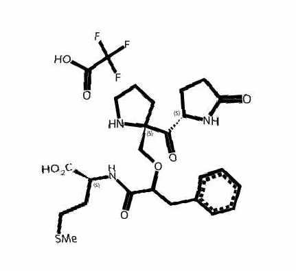 CSCC[C@H](NC(=O)C(Cc1ccccc1)OC[C@]1(C(=O)[C@@H]2CCC(=O)N2)CCCN1)C(=O)O.O=C(O)C(F)(F)F